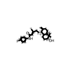 C=C1CC[C@@H]2C(C)(C)[C@H](O)CC[C@@]2(C)[C@@H]1CCC(C)=CC(=O)Nc1ccc(F)cc1